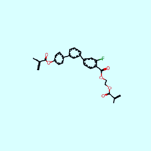 C=C(C)C(=O)OCCOC(=O)c1ccc(-c2cccc(-c3ccc(OC(=O)C(=C)C)cc3)c2)cc1F